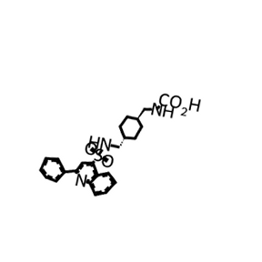 O=C(O)NC[C@H]1CC[C@H](CNS(=O)(=O)c2cc(-c3ccccc3)nc3ccccc23)CC1